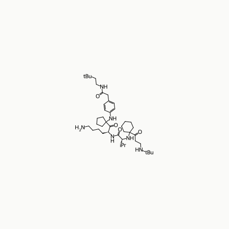 CC(C)[C@H](NC1(C(=O)CCNC(C)(C)C)CCCCC1)C(=O)N[C@@H](CCCCN)C(=O)C1(Nc2ccc(CC(=O)NCCC(C)(C)C)cc2)CCCC1